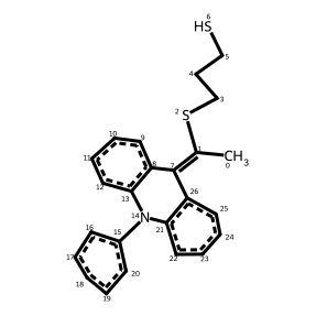 CC(SCCCS)=C1c2ccccc2N(c2ccccc2)c2ccccc21